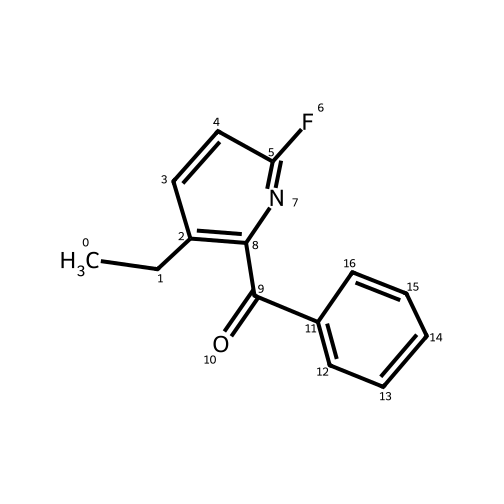 CCc1ccc(F)nc1C(=O)c1ccccc1